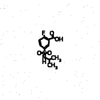 CC(C)NS(=O)(=O)c1ccc(F)c(C(=O)O)c1